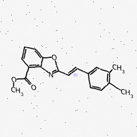 COC(=O)c1cccc2oc(/C=C/c3ccc(C)c(C)c3)nc12